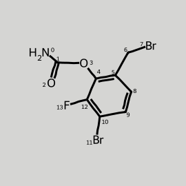 NC(=O)Oc1c(CBr)ccc(Br)c1F